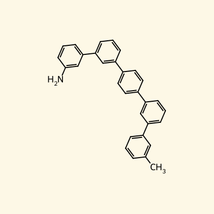 Cc1cccc(-c2cccc(-c3ccc(-c4cccc(-c5cccc(N)c5)c4)cc3)c2)c1